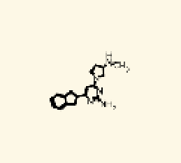 CNC1CCN(c2cc(C3Cc4ccccc4C3)nc(N)n2)C1